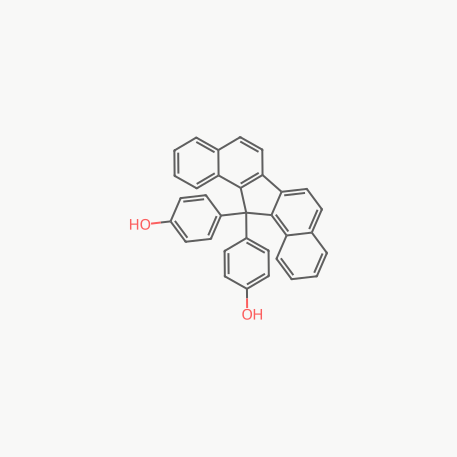 Oc1ccc(C2(c3ccc(O)cc3)c3c(ccc4ccccc34)-c3ccc4ccccc4c32)cc1